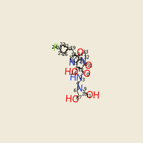 O=C(NCCN(CCO)CCO)c1c(O)c2ncc(Cc3ccc(F)cc3)c3c2n(c1=O)CCO3